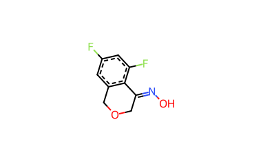 ON=C1COCc2cc(F)cc(F)c21